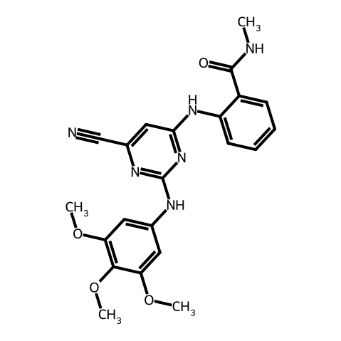 CNC(=O)c1ccccc1Nc1cc(C#N)nc(Nc2cc(OC)c(OC)c(OC)c2)n1